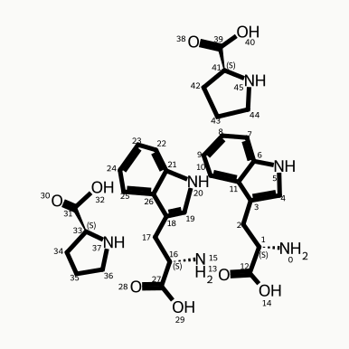 N[C@@H](Cc1c[nH]c2ccccc12)C(=O)O.N[C@@H](Cc1c[nH]c2ccccc12)C(=O)O.O=C(O)[C@@H]1CCCN1.O=C(O)[C@@H]1CCCN1